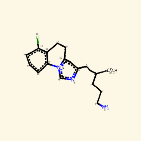 NCCCC(Cc1ncn2c1CCc1c(Cl)cccc1-2)C(=O)O